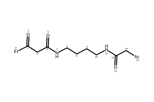 CCC(=O)CC(=O)NCCCCNC(=O)CC(C)=O